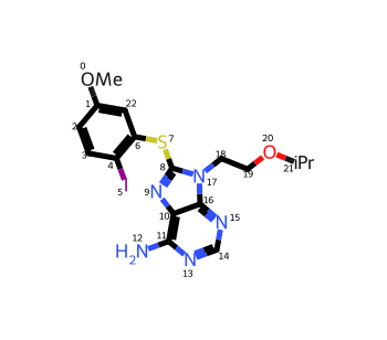 COc1ccc(I)c(Sc2nc3c(N)ncnc3n2CCOC(C)C)c1